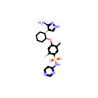 Cc1cc(S(=O)(=O)Nc2ccncn2)c(F)cc1O[C@H]1CCCC[C@@H]1c1c[nH]nc1N